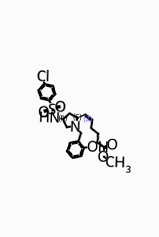 COC(=O)CCC/C=C\[C@@H]1C[C@@H](NS(=O)(=O)c2ccc(Cl)cc2)CN1Cc1ccccc1O